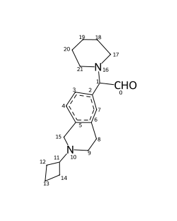 O=CC(c1ccc2c(c1)CCN(C1CCC1)C2)N1CCCCC1